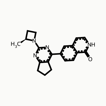 C[C@H]1CCN1c1nc2c(c(-c3ccc4c(=O)[nH]ccc4c3)n1)CCC2